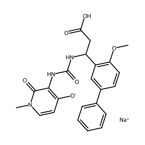 COc1ccc(-c2ccccc2)cc1C(CC(=O)O)NC(=O)Nc1c([O-])ccn(C)c1=O.[Na+]